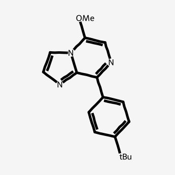 COc1cnc(-c2ccc(C(C)(C)C)cc2)c2nccn12